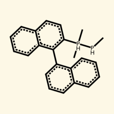 CP[PH](C)(C)c1ccc2ccccc2c1-c1cccc2ccccc12